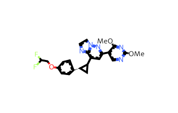 COc1ncc(-c2cc(C3C[C@@H]3c3ccc(OCC(F)F)cc3)c3nccn3n2)c(OC)n1